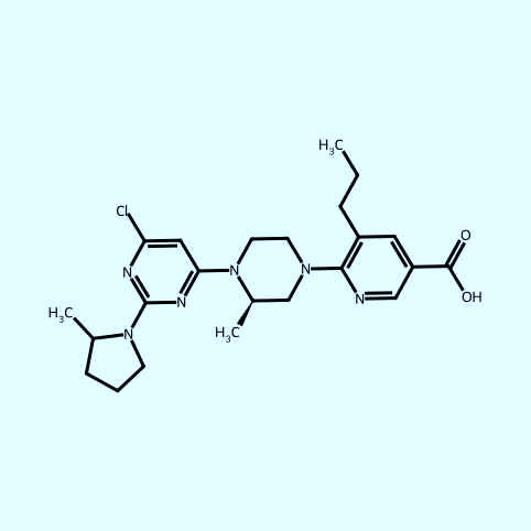 CCCc1cc(C(=O)O)cnc1N1CCN(c2cc(Cl)nc(N3CCCC3C)n2)[C@H](C)C1